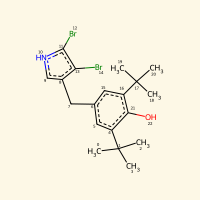 CC(C)(C)c1cc(Cc2c[nH]c(Br)c2Br)cc(C(C)(C)C)c1O